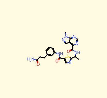 CC(NC(=O)c1ncnc2c1cnn2C)c1ncc(C(=O)Nc2cccc(CCC(N)=O)c2)s1